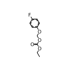 CCOC(=O)OCOc1ccc(F)cc1